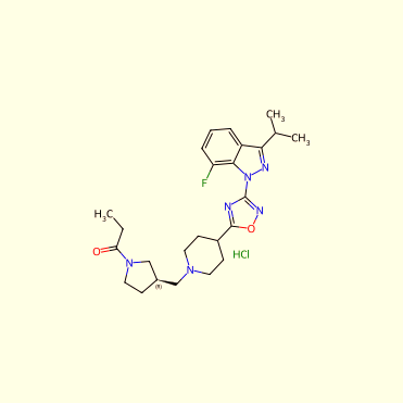 CCC(=O)N1CC[C@H](CN2CCC(c3nc(-n4nc(C(C)C)c5cccc(F)c54)no3)CC2)C1.Cl